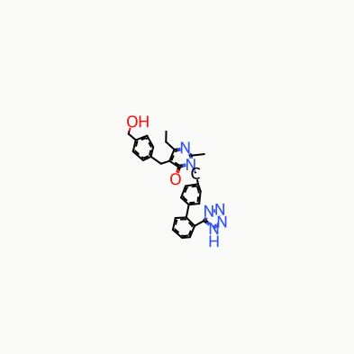 CCc1nc(C)n(Cc2ccc(-c3ccccc3-c3nnn[nH]3)cc2)c(=O)c1Cc1ccc(CO)cc1